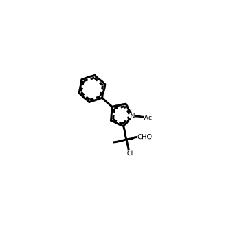 CC(=O)n1cc(-c2ccccc2)cc1C(C)(Cl)C=O